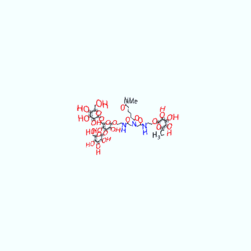 CNC(=O)CCCCC(=O)N(CC(=O)NCCO[C@@H]1O[C@@H](C)[C@@H](O)[C@@H](O)[C@@H]1O)CC(=O)NCCO[C@H]1O[C@H](CO[C@H]2O[C@H](CO)[C@@H](O)[C@H](O)[C@@H]2O)[C@@H](O)[C@H](O[C@H]2O[C@H](CO)[C@@H](O)[C@H](O)[C@@H]2O)[C@@H]1O